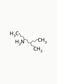 CCCCC(N)CCC(CCC)CCCC